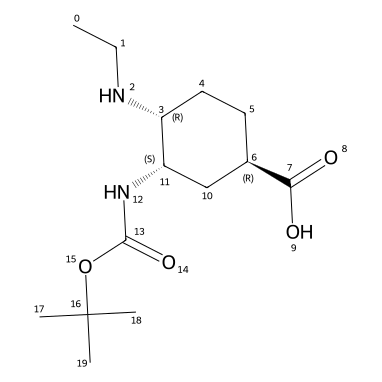 CCN[C@@H]1CC[C@@H](C(=O)O)C[C@@H]1NC(=O)OC(C)(C)C